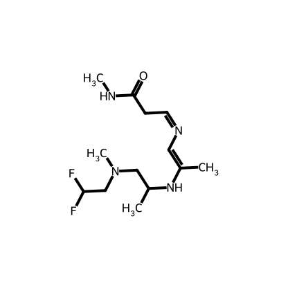 CNC(=O)C/C=N\C=C(/C)NC(C)CN(C)CC(F)F